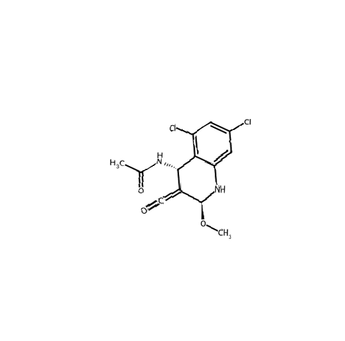 CO[C@@H]1Nc2cc(Cl)cc(Cl)c2[C@@H](NC(C)=O)C1=C=O